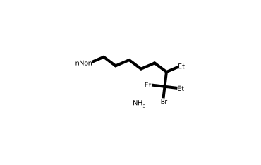 CCCCCCCCCCCCCCC(CC)C(Br)(CC)CC.N